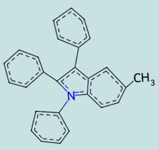 Cc1ccc2c(c1)c(-c1ccccc1)c(-c1ccccc1)n2-c1ccccc1